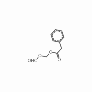 O=COCOC(=O)Cc1ccccc1